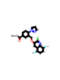 COC(=O)c1ccc(-n2cccn2)c(COc2cc3c(F)ccc(F)c3nc2Cl)c1